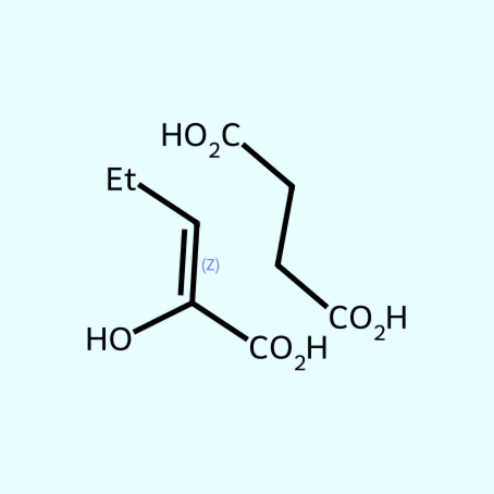 CC/C=C(\O)C(=O)O.O=C(O)CCC(=O)O